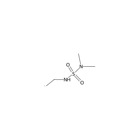 [CH2]CNS(=O)(=O)N(C)C